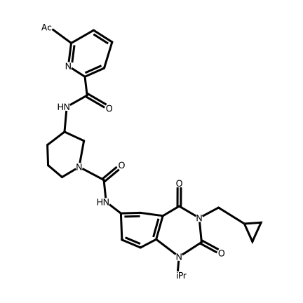 CC(=O)c1cccc(C(=O)NC2CCCN(C(=O)Nc3ccc4c(c3)c(=O)n(CC3CC3)c(=O)n4C(C)C)C2)n1